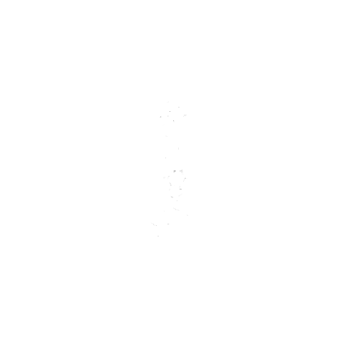 COc1cc2cc(C(=O)CCC(=O)O)sc2cc1CCCO[Si](C)(C)C(C)(C)C